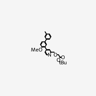 COc1ccc(-c2cccc(C)c2)cc1-c1ccnc(COCC(=O)OC(C)(C)C)c1